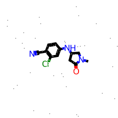 CN1CC(Nc2ccc(C#N)c(Cl)c2)CC1=O